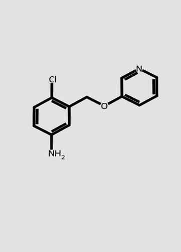 Nc1ccc(Cl)c(COc2cccnc2)c1